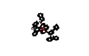 c1ccc(-c2cc(-c3ccc(-c4cc5c(oc6cccc(N(c7ccc8ccccc8c7)c7ccc8ccccc8c7)c65)c5ccccc45)cc3)cc(-n3c4ccccc4c4ccccc43)c2)cc1